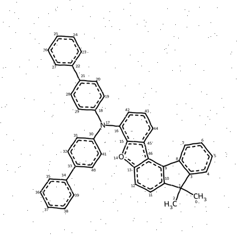 CC1(C)c2ccccc2-c2c1ccc1oc3c(N(c4ccc(-c5ccccc5)cc4)c4ccc(-c5ccccc5)cc4)cccc3c21